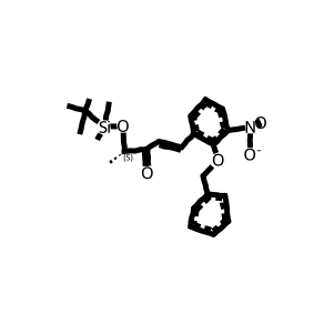 C[C@H](O[Si](C)(C)C(C)(C)C)C(=O)C=Cc1cccc([N+](=O)[O-])c1OCc1ccccc1